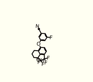 N#Cc1cc(F)cc(Oc2ccc3c4c2CCC[C@]4(O)C(F)(F)C3(F)F)c1